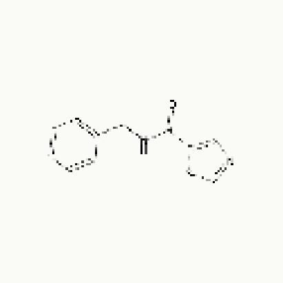 O=C(NCc1ccccc1)c1cncs1